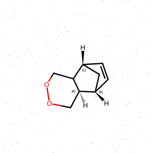 C1=C[C@H]2C[C@@H]1C1COOC[C@@H]12